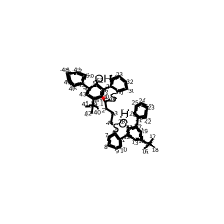 CC(CCCSc1ccccc1-c1cc(C(C)(C)C)cc(-c2ccccc2)c1O)Sc1ccccc1-c1cc(C(C)(C)C)cc(-c2ccccc2)c1O